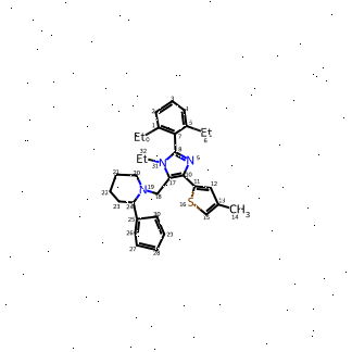 CCc1cccc(CC)c1-c1nc(-c2cc(C)cs2)c(CN2CCCCC2c2ccccc2)n1CC